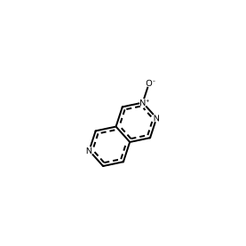 [O-][n+]1cc2cnccc2cn1